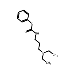 CCN(CC)CCCNC(=O)Oc1ccccc1